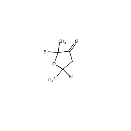 CCC1(C)CC(=O)C(C)(CC)O1